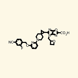 N#Cc1ccc(COc2cccc(N3CCC4(CC3)CC4c3nc4oc(C(=O)O)nc4n3CC3CCO3)n2)c(F)c1